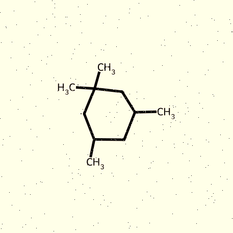 CC1[CH]C(C)(C)CC(C)C1